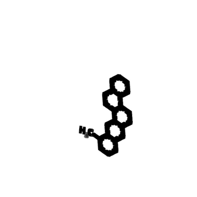 Cc1cccc2cc3ccc4c5ccccc5ccc4c3cc12